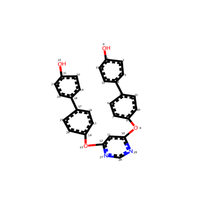 Oc1ccc(-c2ccc(Oc3cc(Oc4ccc(-c5ccc(O)cc5)cc4)ncn3)cc2)cc1